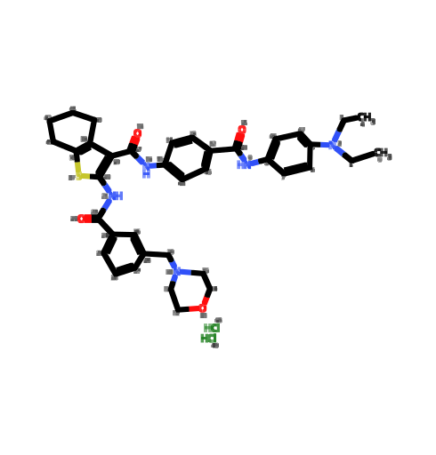 CCN(CC)c1ccc(NC(=O)c2ccc(NC(=O)c3c(NC(=O)c4cccc(CN5CCOCC5)c4)sc4c3CCCC4)cc2)cc1.Cl.Cl